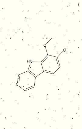 COc1c(Cl)ccc2c1[nH]c1cnccc12